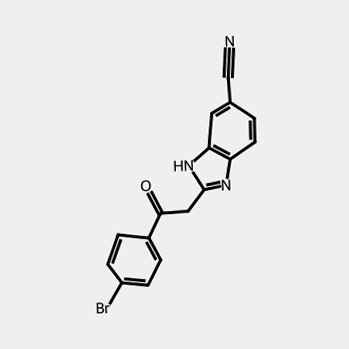 N#Cc1ccc2nc(CC(=O)c3ccc(Br)cc3)[nH]c2c1